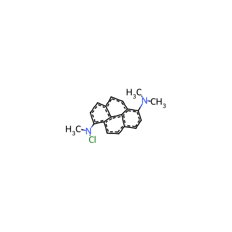 CN(C)c1ccc2ccc3c(N(C)Cl)ccc4ccc1c2c43